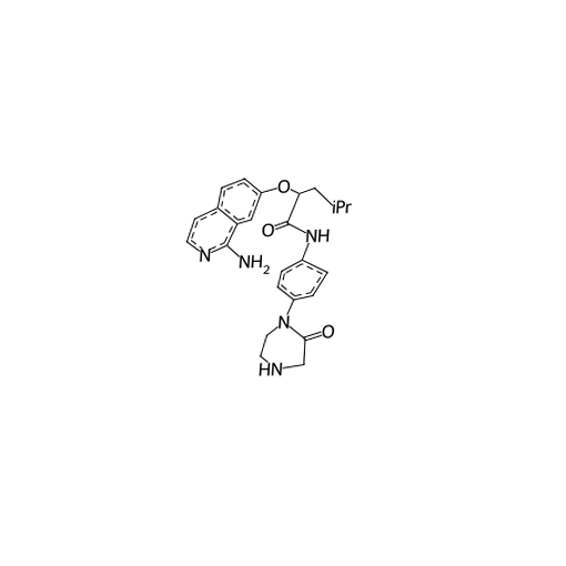 CC(C)CC(Oc1ccc2ccnc(N)c2c1)C(=O)Nc1ccc(N2CCNCC2=O)cc1